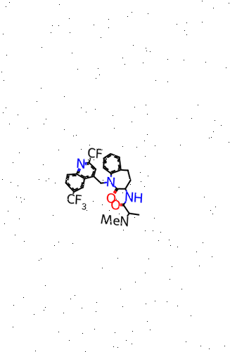 CNC(C)C(=O)NC1CCc2ccccc2N(Cc2cc(C(F)(F)F)nc3ccc(C(F)(F)F)cc23)C1=O